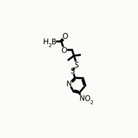 BC(=O)OCC(C)(C)SSc1ccc([N+](=O)[O-])cn1